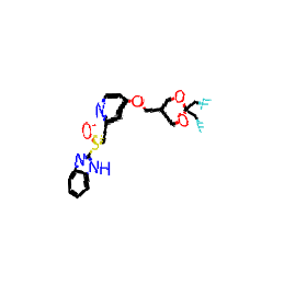 [O-][S+](Cc1cc(OCC2COC(CF)(CF)OC2)ccn1)c1nc2ccccc2[nH]1